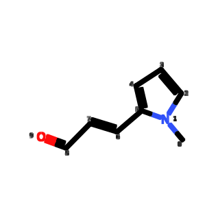 Cn1cccc1C=CC=O